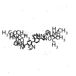 CCC(=O)N[C@H](C(=O)N1CCC[C@H]1c1ncc(-c2ccc(-c3ccc(-c4cnc([C@@H]5CCCN5C(=O)[C@@H](NC(=O)OC)C(C)C)[nH]4)c4scnc34)c3scnc23)[nH]1)C(C)C